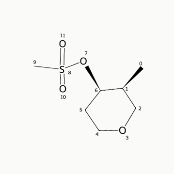 C[C@H]1COCC[C@H]1OS(C)(=O)=O